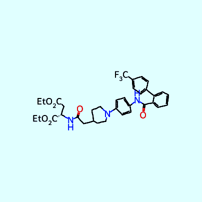 CCOC(=O)C[C@H](NC(=O)CC1CCN(c2ccc(NC(=O)c3ccccc3-c3ccc(C(F)(F)F)cc3)cc2)CC1)C(=O)OCC